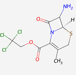 CC1=C(C(=O)OCC(Cl)(Cl)Cl)N2C(=O)C(N)[C@H]2SC1